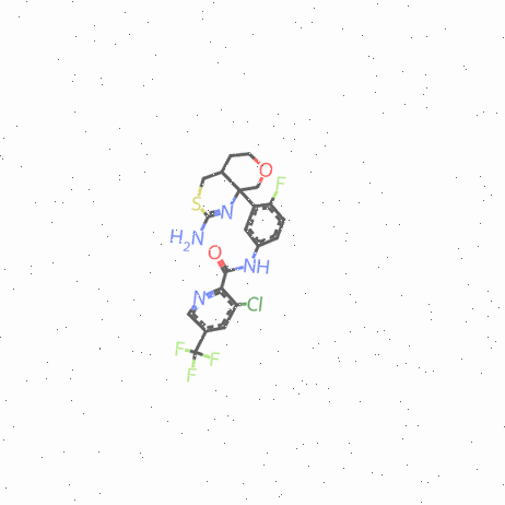 NC1=NC2(c3cc(NC(=O)c4ncc(C(F)(F)F)cc4Cl)ccc3F)COCCC2CS1